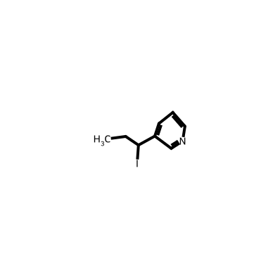 CCC(I)c1cccnc1